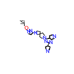 C[Si](C)(C)CCOCn1ccc(N2CCC3(CCN(c4nc(-c5ccncc5)nc5cnccc45)CC3)C2)n1